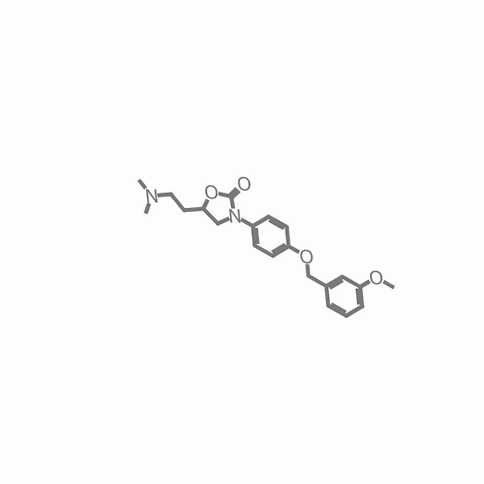 COc1cccc(COc2ccc(N3CC(CCN(C)C)OC3=O)cc2)c1